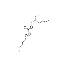 CCCCCOOC(=O)OCC(CC)CCCC